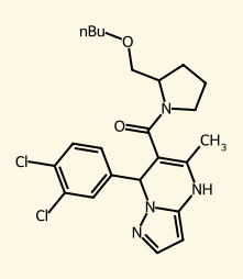 CCCCOCC1CCCN1C(=O)C1=C(C)Nc2ccnn2C1c1ccc(Cl)c(Cl)c1